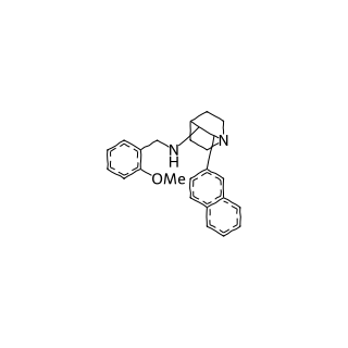 COc1ccccc1CNC1C2CCN(CC2)C1c1ccc2ccccc2c1